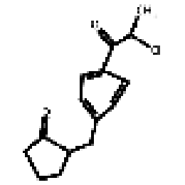 CC(Cl)C(=O)c1ccc(CC2CCCC2=O)cc1